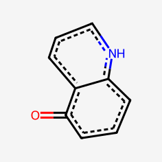 O=c1cccc2[nH]cccc1-2